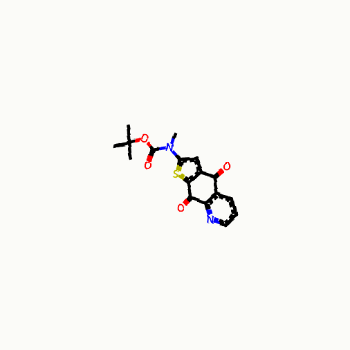 CN(C(=O)OC(C)(C)C)c1cc2c(s1)C(=O)c1ncccc1C2=O